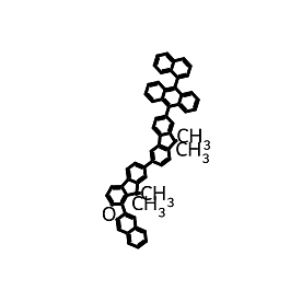 CC1(C)c2ccc(-c3ccc4c(c3)C(C)(C)c3c-4ccc4oc5cc6ccccc6cc5c34)cc2-c2ccc(-c3c4ccccc4c(-c4cccc5ccccc45)c4ccccc34)cc21